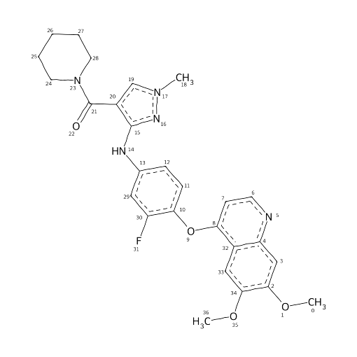 COc1cc2nccc(Oc3ccc(Nc4nn(C)cc4C(=O)N4CCCCC4)cc3F)c2cc1OC